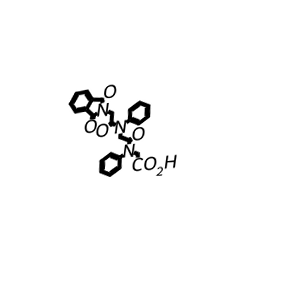 O=C(O)CN(C(=O)CN(C(=O)CN1C(=O)c2ccccc2C1=O)c1ccccc1)c1ccccc1